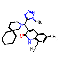 Cc1cc(C)c2[nH]c(=O)c([C@H](c3nnnn3C(C)(C)C)N3CCCC4(CCCCC4)C3)cc2c1